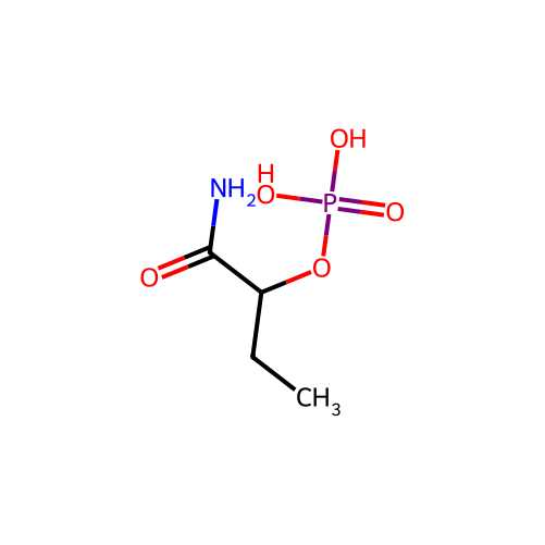 CCC(OP(=O)(O)O)C(N)=O